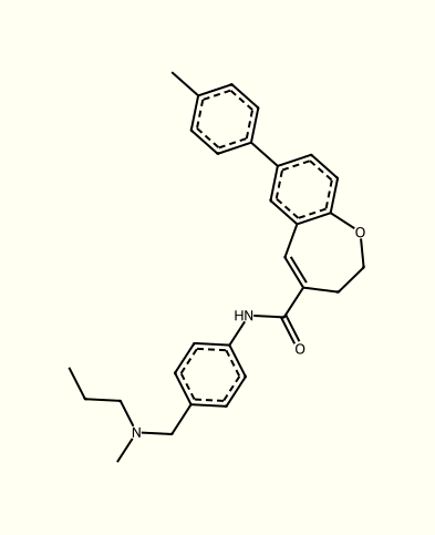 CCCN(C)Cc1ccc(NC(=O)C2=Cc3cc(-c4ccc(C)cc4)ccc3OCC2)cc1